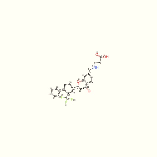 O=C(O)CCNCc1ccc2c(=O)cc(-c3ccc(-c4ccccc4)c(C(F)(F)F)c3)oc2c1